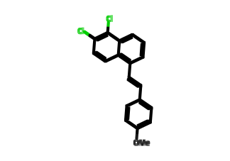 COc1ccc(/C=C/c2cccc3c(Cl)c(Cl)ccc23)cc1